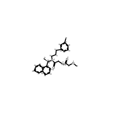 COCC(=O)NCC(=O)N(CCCc1cccc(C)c1)[C@H](C)c1cccc2ccccc12